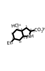 CCC1CCC2CC(C(=O)O)NC2C1.Cl